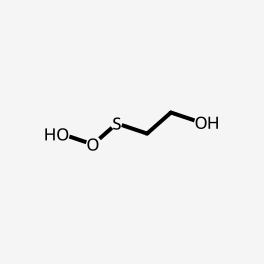 OCCSOO